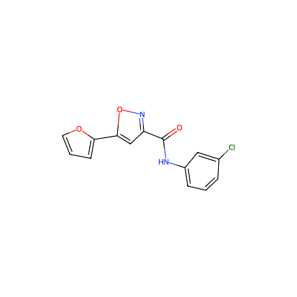 O=C(Nc1cccc(Cl)c1)c1cc(-c2ccco2)on1